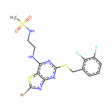 CS(=O)(=O)NCCNc1nc(SCc2cccc(F)c2F)nc2nc(Br)sc12